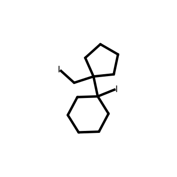 ICC1(C2(I)CCCCC2)CCCC1